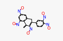 C=C1C(N=O)=C(c2ccc(N=O)c(N=O)c2)Cc2cc(N=O)cc(N=O)c21